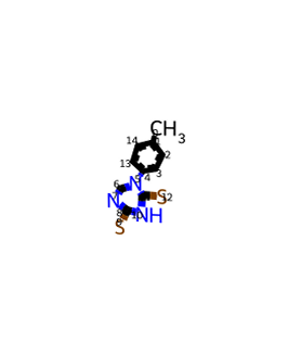 Cc1ccc(-n2cnc(=S)[nH]c2=S)cc1